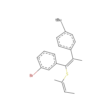 C/C=C(/C)S/C(=C(\C)c1ccc(C(C)(C)C)cc1)c1cccc(Br)c1